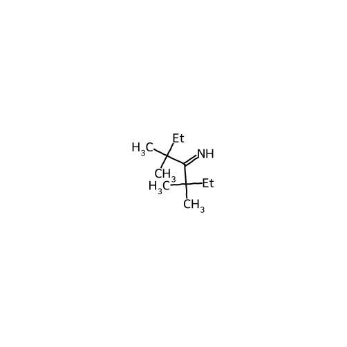 CCC(C)(C)C(=N)C(C)(C)CC